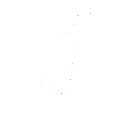 N=C(NC(=O)c1csc(C2CCN(C(=O)c3ccccc3-c3ccc(C(F)(F)F)cc3)CC2)n1)c1ccc2ccccc2c1